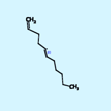 C=CCC/[C]=C/CCCCC